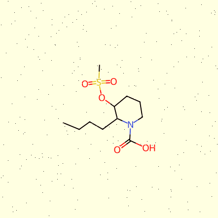 CCCCC1C(OS(C)(=O)=O)CCCN1C(=O)O